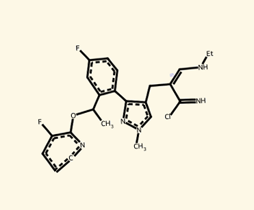 CCN/C=C(/Cc1cn(C)nc1-c1ccc(F)cc1C(C)Oc1ncccc1F)C(=N)Cl